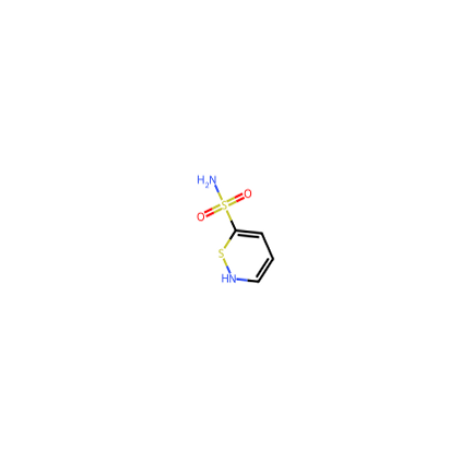 NS(=O)(=O)C1=CC=CNS1